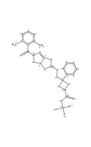 Cc1ncnc(C)c1C(=O)N1C=C2CN(CCC3(c4ccccc4)CN(C(=O)CC(F)(F)F)C3)CC2C1